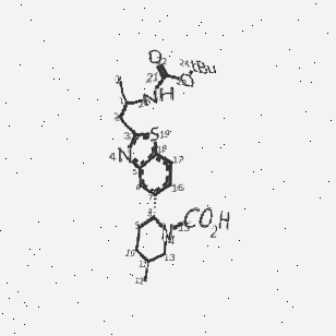 CC(Cc1nc2cc([C@H]3CC[C@H](C)CN3C(=O)O)ccc2s1)NC(=O)OC(C)(C)C